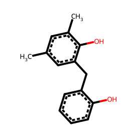 Cc1cc(C)c(O)c(Cc2ccccc2O)c1